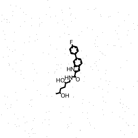 CC(O)CCC(O)CNC(=O)c1cc2ccc(-c3ccc(F)cc3)cc2[nH]1